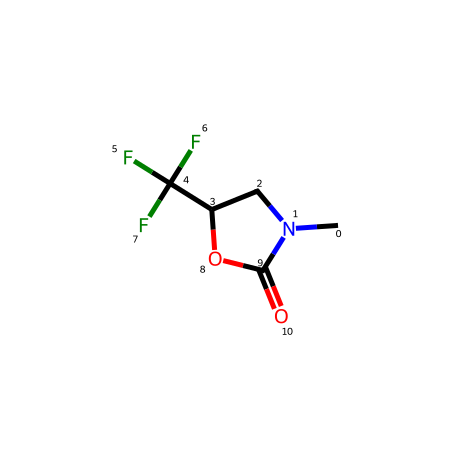 CN1CC(C(F)(F)F)OC1=O